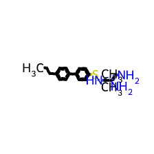 CCCc1ccc(-c2ccc(SNC(C)(C)/C(N)=C/N)cc2)cc1